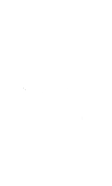 CC1=C(C)C(C)=[C]([Na])C1